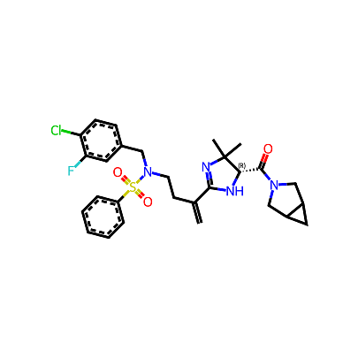 C=C(CCN(Cc1ccc(Cl)c(F)c1)S(=O)(=O)c1ccccc1)C1=NC(C)(C)[C@H](C(=O)N2CC3CC3C2)N1